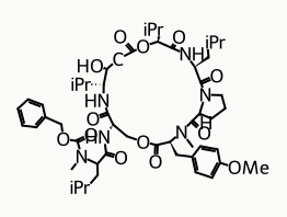 COc1ccc(C[C@H]2C(=O)OC[C@H](NC(=O)C(CC(C)C)N(C)C(=O)OCc3ccccc3)C(=O)N[C@H](C(C)C)[C@@H](O)CC(=O)O[C@@H](C(C)C)C(=O)N[C@@H](CC(C)C)C(=O)N3CCC[C@H]3C(=O)N2C)cc1